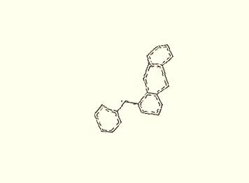 [CH](c1ccccc1)c1cccc2cc3ccccc3cc12